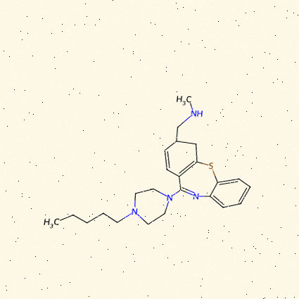 CCCCCN1CCN(C2=Nc3ccccc3SC3=C2C=CC(CNC)C3)CC1